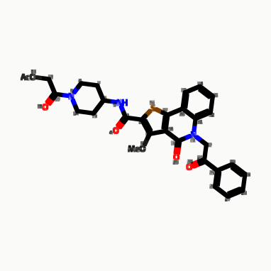 COc1c(C(=O)NC2CCN(C(=O)COC(C)=O)CC2)sc2c1c(=O)n(CC(=O)c1ccccc1)c1ccccc21